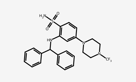 NS(=O)(=O)c1ccc(N2CCN(C(F)(F)F)CC2)cc1NC(c1ccccc1)c1ccccc1